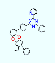 CC1(C)c2ccccc2-c2cc3c(cc21)Oc1cccc(-c2ccc(-c4nc(-c5ccccc5)nc(-c5ccccn5)n4)cc2)c1O3